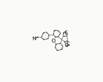 N#Cc1ccc(-c2cccc3c2Oc2ccccc2C32c3ccccc3-c3ccccc32)cc1